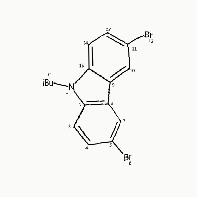 CCC(C)n1c2ccc(Br)cc2c2cc(Br)ccc21